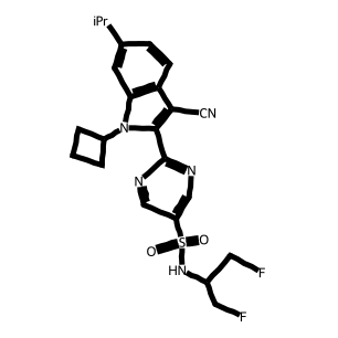 CC(C)c1ccc2c(C#N)c(-c3ncc(S(=O)(=O)NC(CF)CF)cn3)n(C3CCC3)c2c1